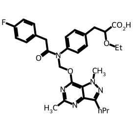 CCCc1nn(C)c2c(OCN(C(=O)Cc3ccc(F)cc3)c3ccc(CC(OCC)C(=O)O)cc3)nc(C)nc12